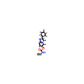 CC(C)(C)NC(=O)Oc1ccc2nc(-c3ccc(F)cc3)cn2c1